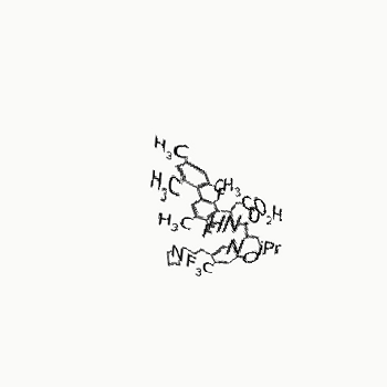 Cc1cc(C)c(-c2cc(C)c(F)c(C(CC(=O)O)NC(=O)C(CC(C)C)n3cc(CCCN4CCC4)c(C(F)(F)F)cc3=O)c2F)c(C)c1